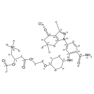 CC(=O)OC(CC(=O)OCCOC1CCC(Nc2cc(-n3nc(C)c4c3CC(C)(C)CC4=O)ccc2C(N)=O)CC1)C[N+](C)(C)C.[Cl-]